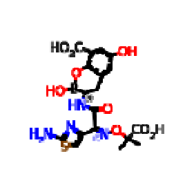 CC(C)(O/N=C(\C(=O)N[C@H]1Cc2cc(O)cc(C(=O)O)c2OB1O)c1csc(N)n1)C(=O)O